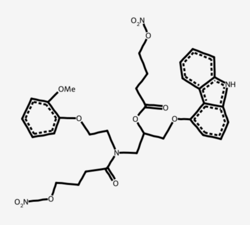 COc1ccccc1OCCN(CC(COc1cccc2[nH]c3ccccc3c12)OC(=O)CCCO[N+](=O)[O-])C(=O)CCCO[N+](=O)[O-]